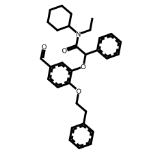 CCN(C(=O)C(Oc1cc(C=O)ccc1OCCc1ccccc1)c1ccccc1)C1CCCCC1